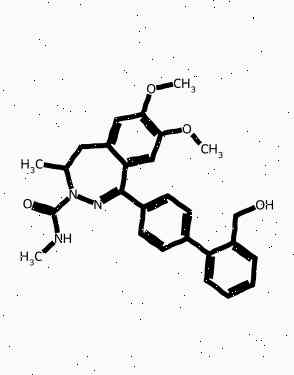 CNC(=O)N1N=C(c2ccc(-c3ccccc3CO)cc2)c2cc(OC)c(OC)cc2CC1C